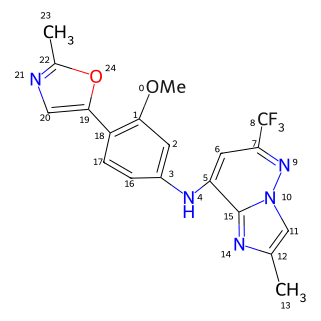 COc1cc(Nc2cc(C(F)(F)F)nn3cc(C)nc23)ccc1-c1cnc(C)o1